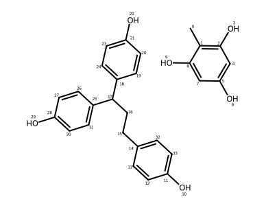 Cc1c(O)cc(O)cc1O.Oc1ccc(CCC(c2ccc(O)cc2)c2ccc(O)cc2)cc1